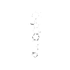 O=C1C(Cc2ccc(OCCn3ccnc3)cc2Cl)CCN1C1CCCCC1